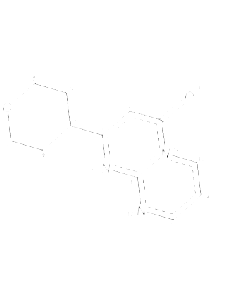 O=c1cc(C2CCOCC2)nc2ncccn12